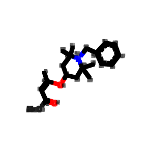 COC(=O)/C=C(/C)OC1CC(C)(C)N(Cc2ccccc2)C(C)(C)C1